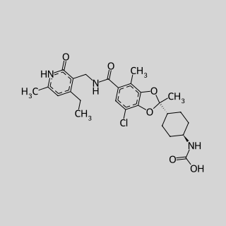 CCc1cc(C)[nH]c(=O)c1CNC(=O)c1cc(Cl)c2c(c1C)OC(C)([C@H]1CC[C@H](NC(=O)O)CC1)O2